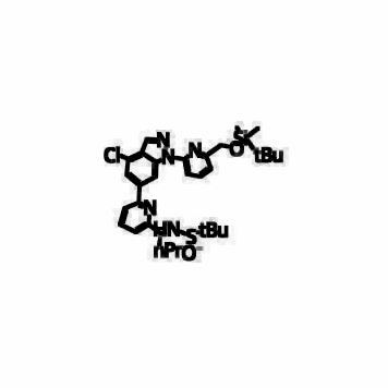 CCC[C@H](N[S+]([O-])C(C)(C)C)c1cccc(-c2cc(Cl)c3cnn(-c4cccc(CO[Si](C)(C)C(C)(C)C)n4)c3c2)n1